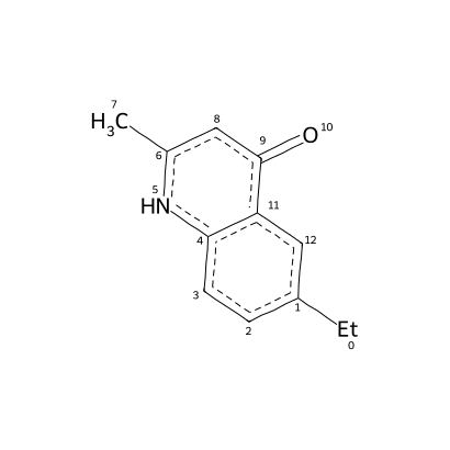 CCc1ccc2[nH]c(C)cc(=O)c2c1